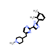 Cc1cccc(-c2ncc(-c3nccc(CC4CCN(C)CC4)n3)[nH]2)c1C